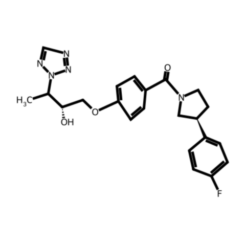 CC([C@@H](O)COc1ccc(C(=O)N2CC[C@@H](c3ccc(F)cc3)C2)cc1)n1ncnn1